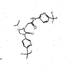 CC(C)[C@H]1CN(c2ccc(C(F)(F)F)nc2)C(=O)N1CC(=O)Nc1ccc(C(F)(F)F)nc1